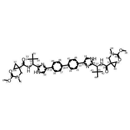 COC(=O)N(C)CC1(C(=O)N[C@H](c2nc(-c3ccc(-c4ccc(-c5c[nH]c([C@@H](NC(=O)C6(CN(C)C(=O)OC)CC6)C(C)(C)C)n5)cc4)cc3)c[nH]2)C(C)(C)C)CC1